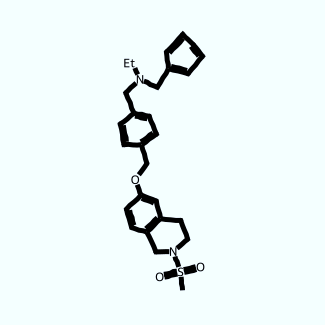 CCN(Cc1ccccc1)Cc1ccc(COc2ccc3c(c2)CCN(S(C)(=O)=O)C3)cc1